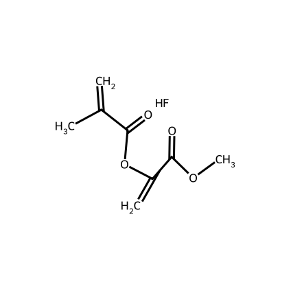 C=C(C)C(=O)OC(=C)C(=O)OC.F